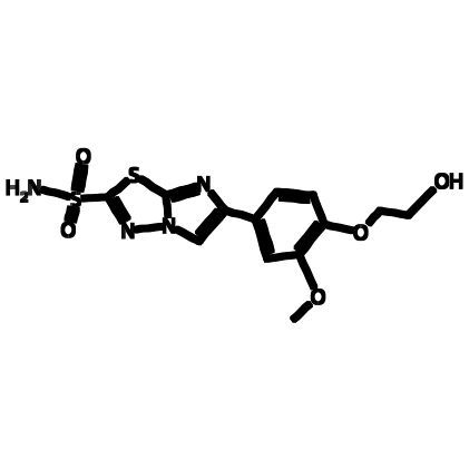 COc1cc(-c2cn3nc(S(N)(=O)=O)sc3n2)ccc1OCCO